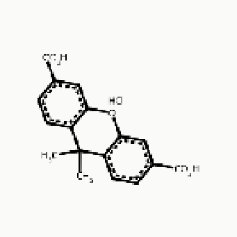 CC1(C)c2ccc(C(=O)O)cc2Oc2cc(C(=O)O)ccc21.Cl